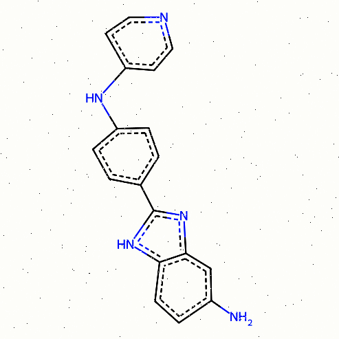 Nc1ccc2[nH]c(-c3ccc(Nc4ccncc4)cc3)nc2c1